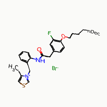 CCCCCCCCCCCCCCOc1ccc(CC(=O)Nc2ccccc2C[n+]2cscc2C)cc1F.[Br-]